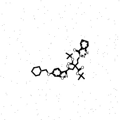 CC(C)(C)OC(=O)C(CCn1nnc2ccccc2c1=O)(CC(=O)c1noc2cc(OCC3CCCCC3)ccc12)C(=O)OC(C)(C)C